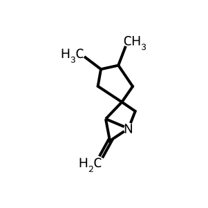 C=C1C2N1CC21CC(C)C(C)C1